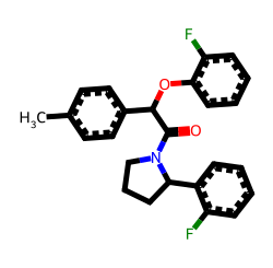 Cc1ccc(C(Oc2ccccc2F)C(=O)N2CCCC2c2ccccc2F)cc1